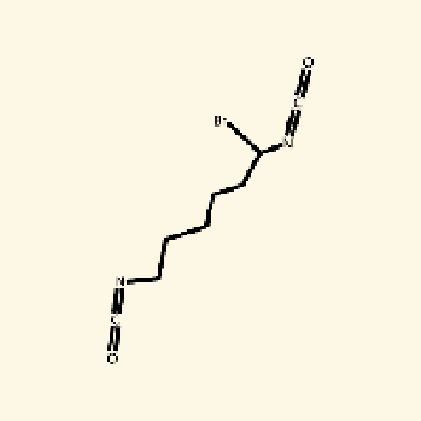 O=C=NCCCCCC(Br)N=C=O